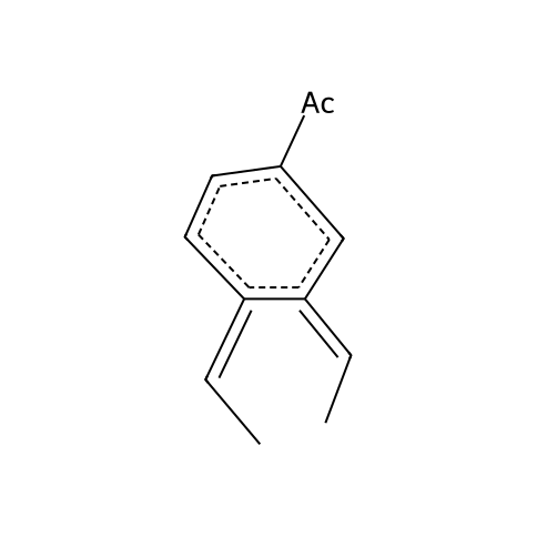 C/C=c1/ccc(C(C)=O)c/c1=C/C